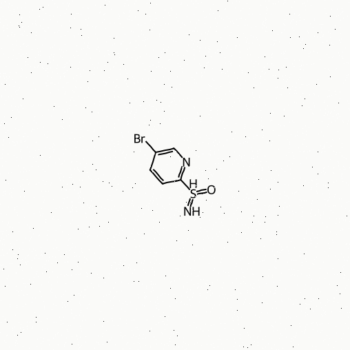 N=[SH](=O)c1ccc(Br)cn1